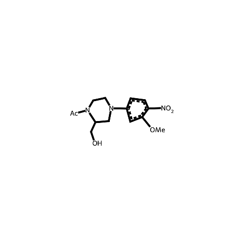 COc1cc(N2CCN(C(C)=O)C(CO)C2)ccc1[N+](=O)[O-]